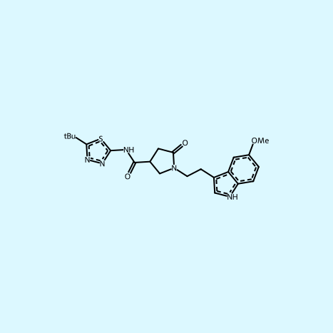 COc1ccc2[nH]cc(CCN3CC(C(=O)Nc4nnc(C(C)(C)C)s4)CC3=O)c2c1